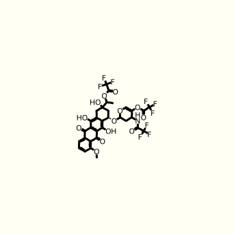 COc1cccc2c1C(=O)c1c(O)c3c(c(O)c1C2=O)CC(O)(C(C)OC(=O)C(F)(F)F)C[C@@H]3OC1CC(NC(=O)C(F)(F)F)C(OC(=O)C(F)(F)F)=CO1